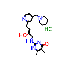 Cc1[nH]c(NC/C(O)=C/Cc2cc(CN3CCCCC3)ccn2)nc(=O)c1C.Cl